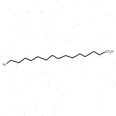 CC(=O)CCCCCCCCCCCCCCC(=O)O